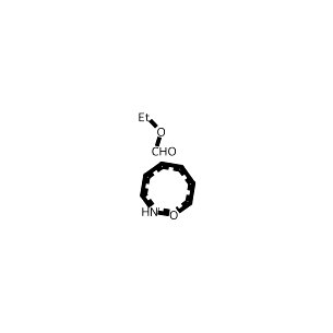 CCOC=O.c1ccco[nH]cc1